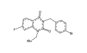 CC(C)(C)Cn1c(=O)n(Cc2ccc(Br)cc2)c(=O)c2ccc(F)cc21